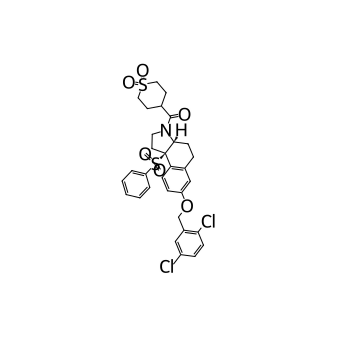 O=C(C1CCS(=O)(=O)CC1)N1CC[C@@]2(S(=O)(=O)c3ccccc3)c3ccc(OCc4cc(Cl)ccc4Cl)cc3CC[C@@H]12